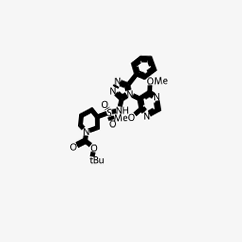 COc1ncnc(OC)c1-n1c(NS(=O)(=O)C2CCCN(C(=O)OC(C)(C)C)C2)nnc1-c1ccccc1